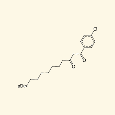 CCCCCCCCCCCCCCCCCC(=O)CC(=O)c1ccc(Cl)cc1